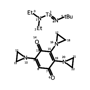 CC[N](CC)/[Ta]=[N]/C(C)(C)C.O=C1C=C(N2CC2)C(=O)C(N2CC2)=C1N1CC1